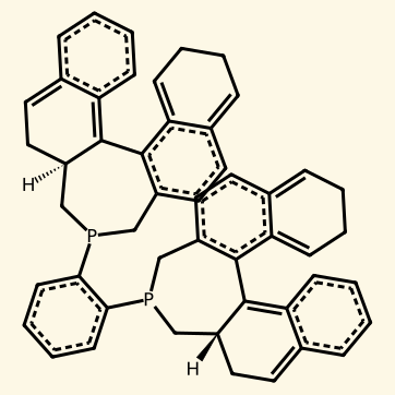 C1=c2ccccc2=C2c3c(ccc4c3=CCCC=4)CP(c3ccccc3P3Cc4ccc5c(c4C4=c6ccccc6=CC[C@@H]4C3)=CCCC=5)C[C@H]2C1